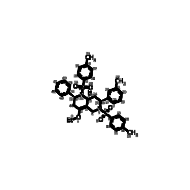 CCOC1=C2CN(S(=O)(=O)c3ccc(C)cc3)[C@H](c3cccc(C)c3)C[C@@H]2N(S(=O)(=O)c2ccc(C)cc2)[C@H](c2ccccc2)C1